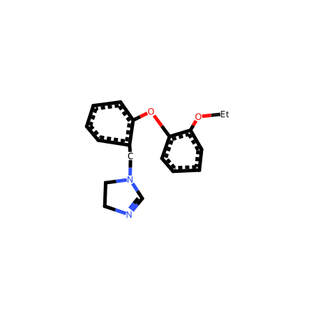 CCOc1ccccc1Oc1ccccc1CN1C=NCC1